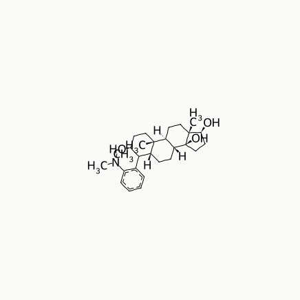 CN(C)c1ccccc1C1[C@H]2CC[C@@H]3[C@H](CC[C@]4(C)[C@@H](O)CC[C@]34O)[C@@]2(C)CC[C@@H]1O